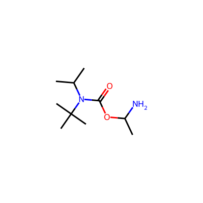 CC(N)OC(=O)N(C(C)C)C(C)(C)C